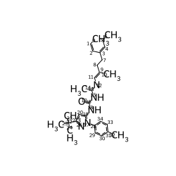 C/C=C\C(=C/CC)CC/C(C)=C/N=C(\C)NC(=O)Nc1cc(C(C)(C)C)nn1-c1ccc(C)cc1